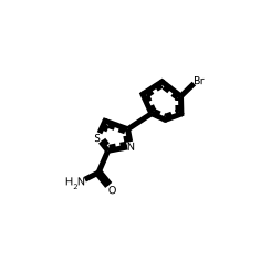 NC(=O)c1nc(-c2ccc(Br)cc2)cs1